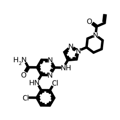 C=CC(=O)N1CCCC(n2cc(Nc3ncc(C(N)=O)c(Nc4c(Cl)cccc4Cl)n3)cn2)C1